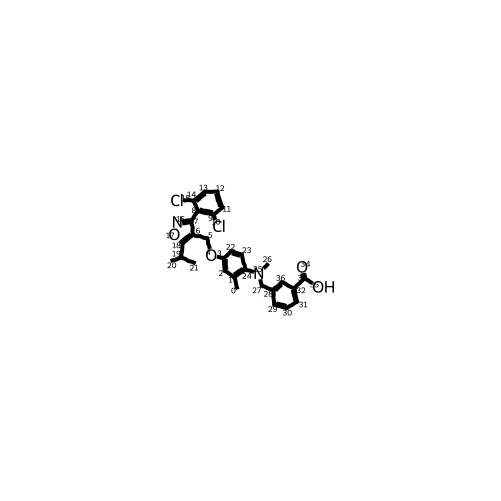 Cc1cc(OCc2c(-c3c(Cl)cccc3Cl)noc2C(C)C)ccc1N(C)Cc1cccc(C(=O)O)c1